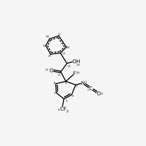 O=C=NC1C=C(C(F)(F)F)C=CC1(F)C(=O)C(O)c1ccccc1